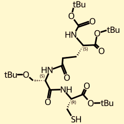 CC(C)(C)OC[C@H](NC(=O)CC[C@H](NC(=O)OC(C)(C)C)C(=O)OC(C)(C)C)C(=O)N[C@@H](CS)C(=O)OC(C)(C)C